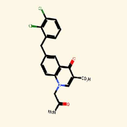 CNC(=O)Cn1cc(C(=O)O)c(=O)c2cc(Cc3cccc(Cl)c3Cl)ccc21